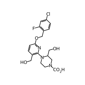 O=C(O)N1CCN(c2nc(OCc3ccc(Cl)cc3F)ccc2CO)C(CO)C1